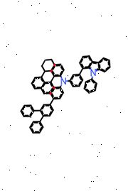 c1ccc(-c2ccc(-c3ccc(N(c4cccc(-c5cccc6c7ccccc7n(-c7ccccc7)c56)c4)c4ccccc4-c4cccc5cccc(C6CCCCC6)c45)cc3)cc2-c2ccccc2)cc1